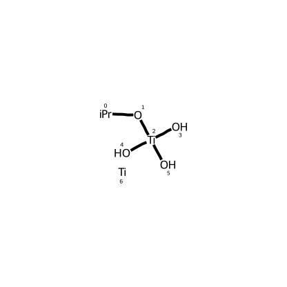 CC(C)[O][Ti]([OH])([OH])[OH].[Ti]